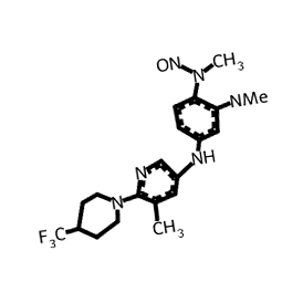 CNc1cc(Nc2cnc(N3CCC(C(F)(F)F)CC3)c(C)c2)ccc1N(C)N=O